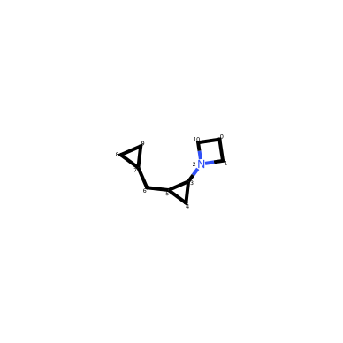 C1CN(C2CC2CC2CC2)C1